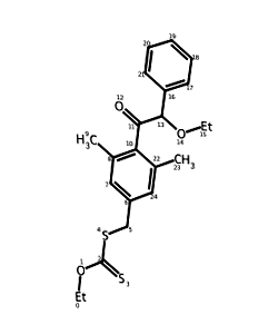 CCOC(=S)SCc1cc(C)c(C(=O)C(OCC)c2ccccc2)c(C)c1